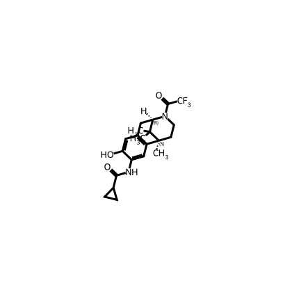 CC1(C)[C@H]2Cc3cc(O)c(NC(=O)C4CC4)cc3[C@]1(C)CCN2C(=O)C(F)(F)F